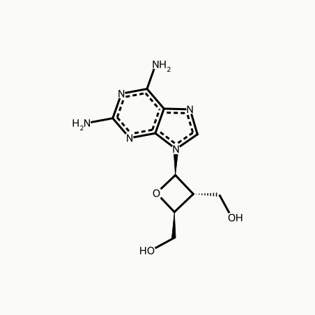 Nc1nc(N)c2ncn([C@@H]3O[C@H](CO)[C@H]3CO)c2n1